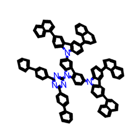 c1ccc(-c2ccc(-c3nc(-c4ccc(-c5ccccc5)cc4)nc(-n4c5ccc(-n6c7ccc(-c8cccc9ccccc89)cc7c7cc(-c8cccc9ccccc89)ccc76)cc5c5cc(-n6c7ccc(-c8cccc9ccccc89)cc7c7cc(-c8cccc9ccccc89)ccc76)ccc54)n3)cc2)cc1